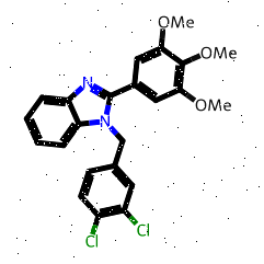 COc1cc(-c2nc3ccccc3n2Cc2ccc(Cl)c(Cl)c2)cc(OC)c1OC